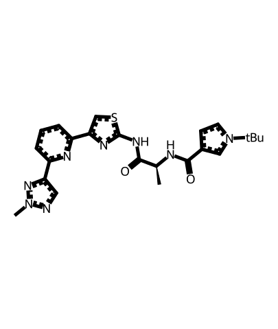 C[C@H](NC(=O)c1ccn(C(C)(C)C)c1)C(=O)Nc1nc(-c2cccc(-c3cnn(C)n3)n2)cs1